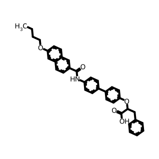 CCCCOc1ccc2cc(C(=O)Nc3ccc(-c4ccc(OC(Cc5ccccc5)C(=O)O)cc4)cc3)ccc2c1